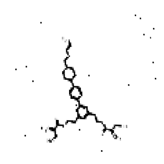 C=C(CO)C(=O)OCCc1cc(CCOC(=O)C(=C)CO)cc(-c2ccc(C3CCC(CC/C=C/C)CC3)cc2)c1